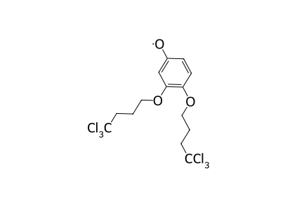 [O]c1ccc(OCCCC(Cl)(Cl)Cl)c(OCCCC(Cl)(Cl)Cl)c1